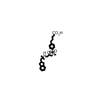 CN(CC(O)CNC(C)(C)CC1Cc2ccccc2C1)S(=O)(=O)c1ccc(CCCCC(=O)O)cc1